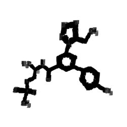 CCc1nnnn1-c1cc(C(=O)N[C@H](C)COS(C)(=O)=O)cc(-c2ccc(C)cc2)c1